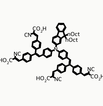 [C-]#[N+]/C(=C\c1ccc(C(=Cc2ccc(N(c3ccc(C=C(c4ccc(/C=C(\[N+]#[C-])C(=O)O)cc4)c4ccc(/C=C(\[N+]#[C-])C(=O)O)cc4)cc3)c3ccc4c(c3)C(CCCCCCCC)(CCCCCCCC)c3ccccc3-4)cc2)c2ccc(/C=C(\[N+]#[C-])C(=O)O)cc2)cc1)C(=O)O